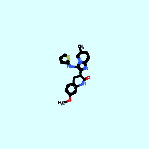 COc1ccc2c(c1)NC(=O)C(c1nc3ccc(C)cn3c1Nc1cccs1)C2